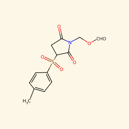 Cc1ccc(S(=O)(=O)C2CC(=O)N(COC=O)C2=O)cc1